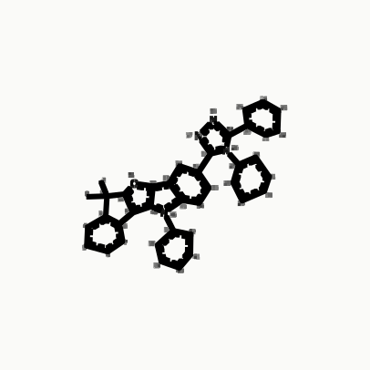 CC1(C)c2ccccc2-c2c1oc1c3cc(-c4nnc(-c5ccccc5)n4-c4ccccc4)ccc3n(-c3ccccc3)c21